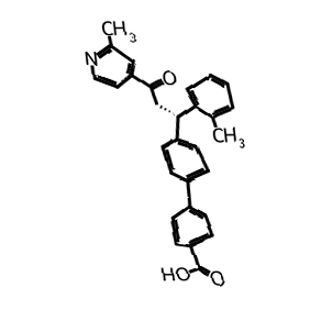 Cc1cc(C(=O)C[C@@H](c2ccc(-c3ccc(C(=O)O)cc3)cc2)c2ccccc2C)ccn1